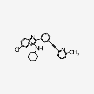 Cc1cccc(C#Cc2cccc(-c3nc4ccc(Cl)cn4c3NC3CCCCC3)c2)n1